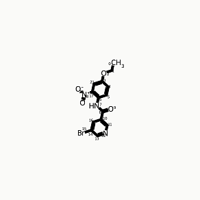 CCOc1ccc(NC(=O)c2cncc(Br)c2)c([N+](=O)[O-])c1